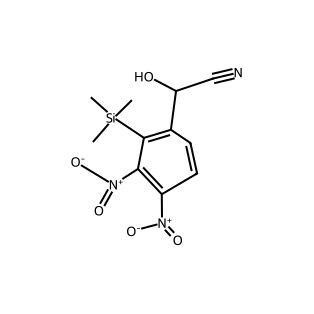 C[Si](C)(C)c1c(C(O)C#N)ccc([N+](=O)[O-])c1[N+](=O)[O-]